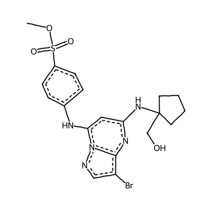 COS(=O)(=O)c1ccc(Nc2cc(NC3(CO)CCCC3)nc3c(Br)cnn23)cc1